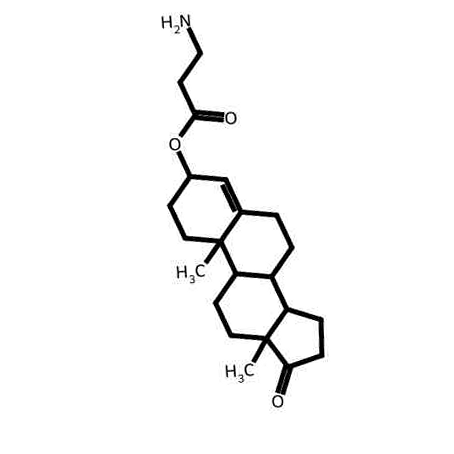 CC12CCC3C(CCC4=CC(OC(=O)CCN)CCC43C)C1CCC2=O